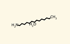 CCCCCCCCCCCCCCN.O